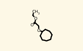 CCOC(=O)COC1CCCCCCC1